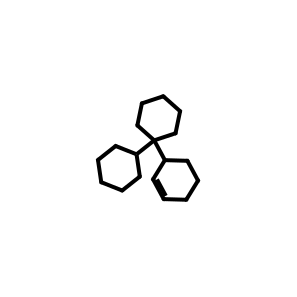 C1=CC(C2(C3CCCCC3)CCCCC2)CCC1